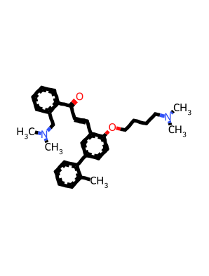 Cc1ccccc1-c1ccc(OCCCCN(C)C)c(C=CC(=O)c2ccccc2CN(C)C)c1